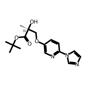 CC(C)(C)OC(=O)[C@@](C)(O)COc1ccc(-n2ccnc2)nc1